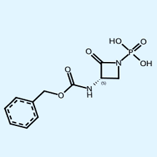 O=C(N[C@H]1CN(P(=O)(O)O)C1=O)OCc1ccccc1